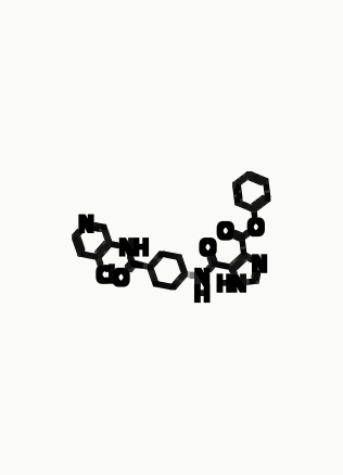 O=C(Oc1ccccc1)c1nc[nH]c1C(=O)N[C@H]1CC[C@H](C(=O)Nc2cnccc2Cl)CC1